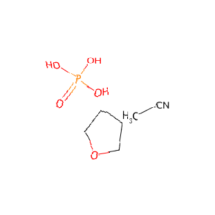 C1CCOC1.CC#N.O=P(O)(O)O